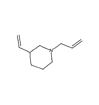 C=CCN1CCCC(C=C)C1